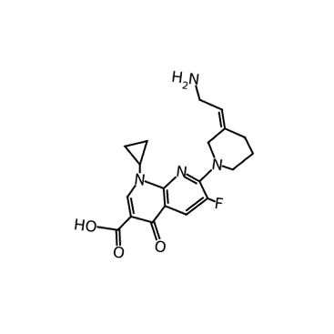 NC/C=C1/CCCN(c2nc3c(cc2F)c(=O)c(C(=O)O)cn3C2CC2)C1